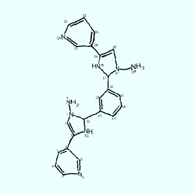 NN1C=C(c2cccnc2)NC1c1cccc(C2NC(c3cccnc3)=CN2N)c1